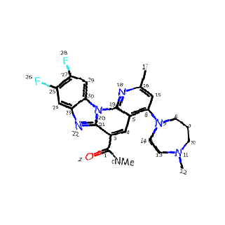 CNC(=O)c1cc2c(N3CCCN(C)CC3)cc(C)nc2n2c1nc1cc(F)c(F)cc12